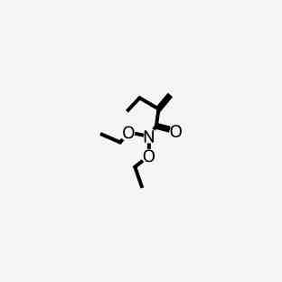 C=C(CC)C(=O)N(OCC)OCC